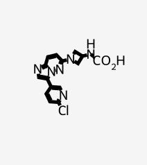 O=C(O)NC1CN(c2ccc3ncc(-c4ccc(Cl)nc4)n3n2)C1